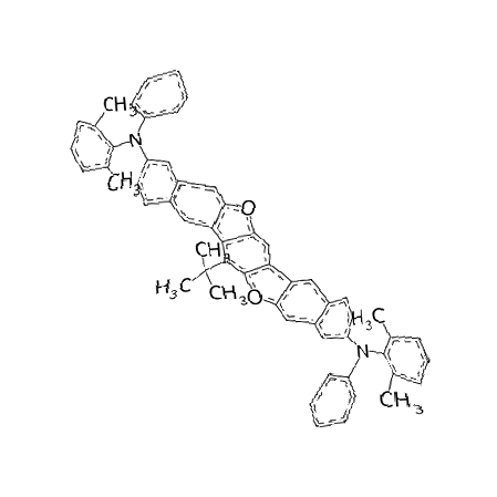 Cc1cccc(C)c1N(c1ccccc1)c1ccc2cc3c(cc2c1)oc1c(C(C)(C)C)c2c(cc13)oc1cc3cc(N(c4ccccc4)c4c(C)cccc4C)ccc3cc12